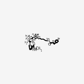 CNC(=O)[C@@H]1CCCN1C(=O)[C@H](C)N(C)C(=O)[C@H](COC)NC(=O)[C@H](CCCCCNC(=O)c1cc2ccc(Br)cc2o1)NS(C)(=O)=O